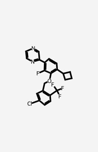 Fc1c(-c2cnccn2)ccc(C2CCC2)c1OCc1cc(Cl)ccc1C(F)(F)F